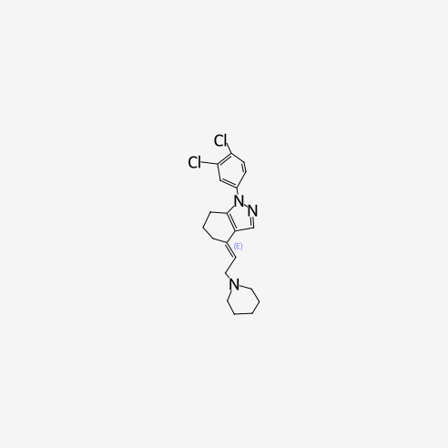 Clc1ccc(-n2ncc3c2CCC/C3=C\CN2CCCCC2)cc1Cl